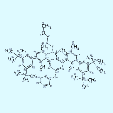 COCCCCP(C)c1c(-c2cc(C)cc(-c3cc(C(C)(C)C)cc(C(C)(C)C)c3)c2O)cc(Cc2ccccc2)cc1-c1cc(C)cc(-c2cc(C(C)(C)C)cc(C(C)(C)C)c2)c1O